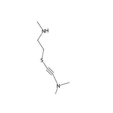 CNCCSC#CN(C)C